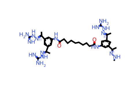 CN/N=C(\C)c1cc(NC(=O)CCCCCCCCC(=O)Nc2cc(/C(C)=N/NC(=N)N)cc(/C(C)=N/NC(=N)N)c2)cc(/C(C)=N/NC(=N)N)c1